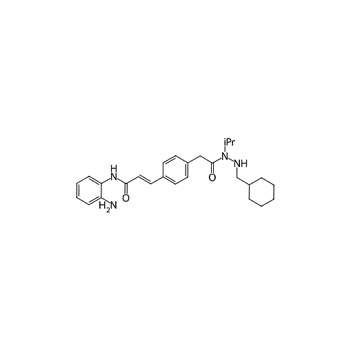 CC(C)N(NCC1CCCCC1)C(=O)Cc1ccc(/C=C/C(=O)Nc2ccccc2N)cc1